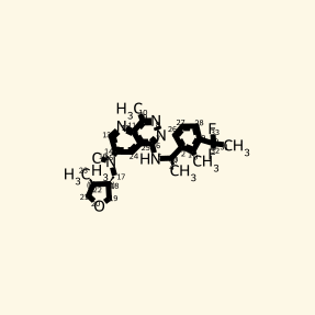 Cc1c([C@@H](C)Nc2nnc(C)c3ncc(N(C)C[C@@H]4COC[C@@H]4C)cc23)cccc1C(C)(F)F